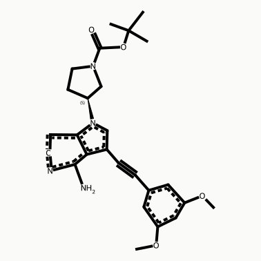 COc1cc(C#Cc2cn([C@H]3CCN(C(=O)OC(C)(C)C)C3)c3ccnc(N)c23)cc(OC)c1